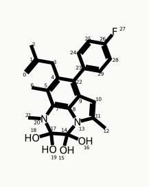 C=C(C)Cc1c(C)c2c3c(cc(C)n3C(O)(O)C(O)(O)N2C)c1-c1ccc(F)cc1